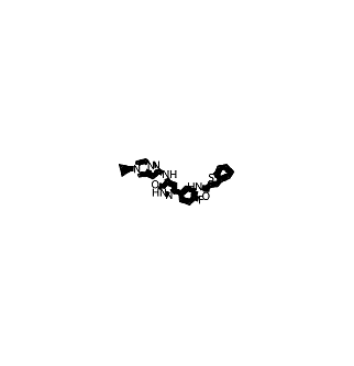 O=C(Nc1cc(-c2cc(Nc3cc4n(n3)CCN(C3CC3)C4)c(=O)[nH]n2)ccc1F)c1cc2ccccc2s1